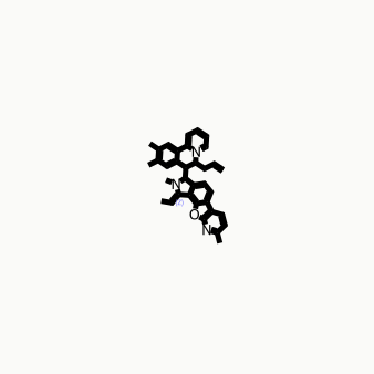 C=CCC1C(C2c3ccc4c(oc5nc(C)ccc54)c3/C(=C/C)N2C)c2cc(C)c(C)cc2-c2cccc[n+]21